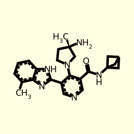 Cc1cccc2[nH]c(-c3cncc(C(=O)NC45CC(C4)C5)c3N3CC[C@](C)(N)C3)nc12